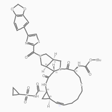 CC(C)(C)OC(=O)N[C@H]1CCCCC/C=C\[C@H]2C[C@@]2(C(=O)NS(=O)(=O)C2CC2)NC(=O)[C@@H]2[C@H]3CN(C(=O)c4nc(-c5ccc6c(c5)OCO6)cs4)C[C@H]3CN2C1=O